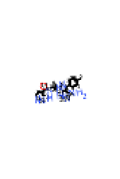 Cc1ccc(-c2nn(C(C)(C)CNC(=O)c3ccnnc3)c3ncnc(N)c23)cc1